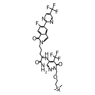 C[Si](C)(C)CCOCn1ncc(N[C@H](CCCn2ccc3cc(-c4ncc(C(F)(F)F)cn4)c(F)cc3c2=O)C(N)=O)c(C(F)(F)F)c1=O